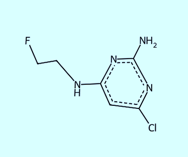 Nc1nc(Cl)cc(NCCF)n1